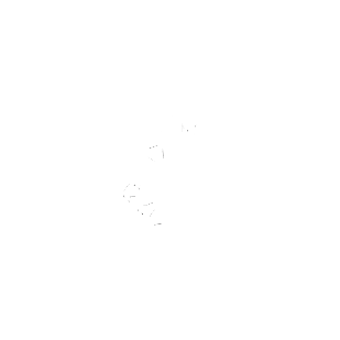 CCCc1cnc(-c2cc3sccc3n2C)n1CCCc1ccc(OC2CCCN(C(=O)OC(C)(C)C)CC2)cc1